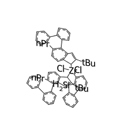 CCCc1ccc2c(c1-c1ccccc1-c1ccccc1)C=C(C(C)(C)C)[CH]2[Zr]([Cl])([Cl])([c]1cccc2c1[SiH2]c1ccccc1-2)[CH]1C(C(C)(C)C)=Cc2c1ccc(CCC)c2-c1ccccc1-c1ccccc1